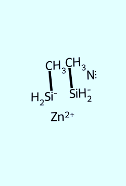 C[SiH2-].C[SiH2-].[N].[Zn+2]